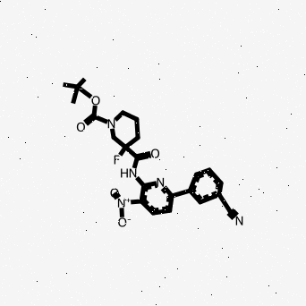 CC(C)(C)OC(=O)N1CCCC(F)(C(=O)Nc2nc(-c3cccc(C#N)c3)ccc2[N+](=O)[O-])C1